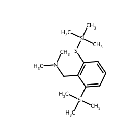 CN(C)Cc1c(S[Si](C)(C)C)cccc1[Si](C)(C)C